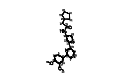 COc1ccc(-c2cncc(-c3cc(NC(=O)CC4CCCC4)cs3)n2)cc1OC